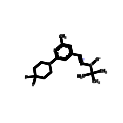 Cc1cc(/C=N/[S+]([O-])C(C)(C)C)cc(N2CCC(F)(F)CC2)n1